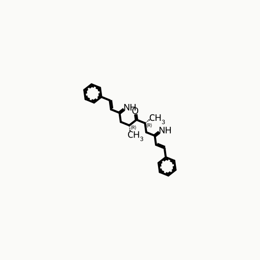 C[C@H](CC(=N)C=Cc1ccccc1)C(=O)[C@H](C)CC(=N)C=Cc1ccccc1